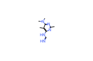 Cc1nc(NC=N)c(C)c(N(C)C)n1